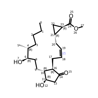 CCCC[C@@H](C)[C@H](O)CC[C@H]1[C@H](O)CC(=O)[C@@H]1C/C=C\C[C@@H]1C[C@H]1C(=O)OC